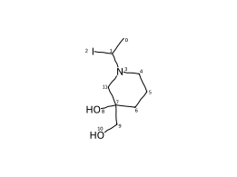 CC(I)N1CCCC(O)(CO)C1